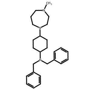 CN1CCCN(C2CCC(N(Cc3ccccc3)Cc3ccccc3)CC2)CC1